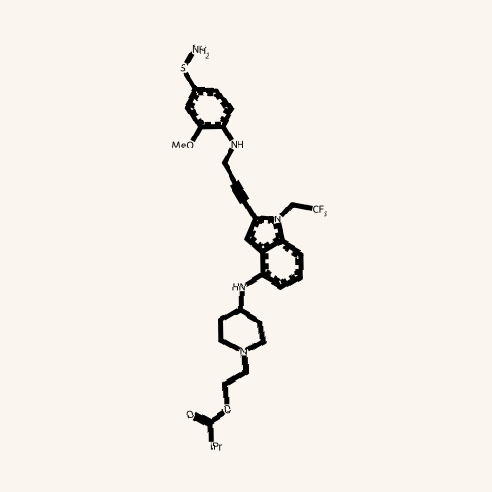 COc1cc(SN)ccc1NCC#Cc1cc2c(NC3CCN(CCOC(=O)C(C)C)CC3)cccc2n1CC(F)(F)F